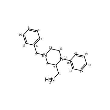 NCC1CN(Cc2ccccc2)CCN1c1ccccc1